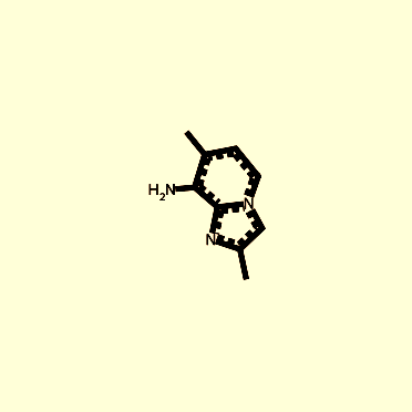 Cc1cn2ccc(C)c(N)c2n1